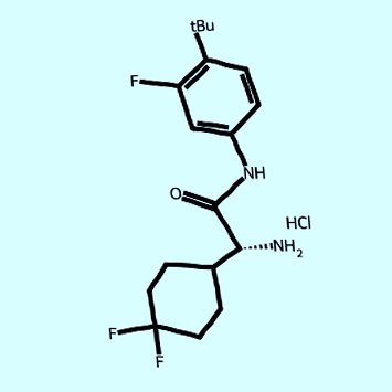 CC(C)(C)c1ccc(NC(=O)[C@H](N)C2CCC(F)(F)CC2)cc1F.Cl